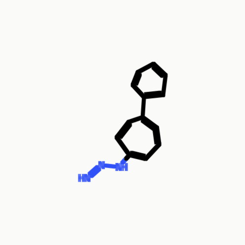 N=NNC1=CC=C=C(c2ccccc2)C=C1